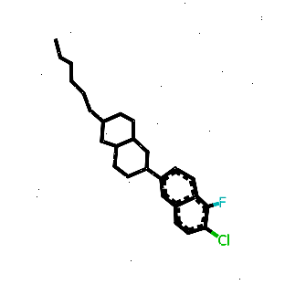 CCCCCCC1CCC2CC(c3ccc4c(F)c(Cl)ccc4c3)CCC2C1